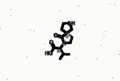 CC(C)[C@@H](C(=O)O)N1CC[C@@]2(CCNC2)C1=O